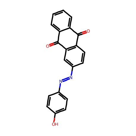 O=C1c2ccccc2C(=O)c2cc(N=Nc3ccc(O)cc3)ccc21